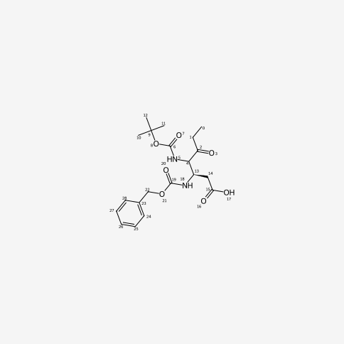 CCC(=O)C(NC(=O)OC(C)(C)C)[C@@H](CC(=O)O)NC(=O)OCc1ccccc1